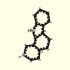 c1ccc2c(c1)[nH]c1c3cnccc3ccc21